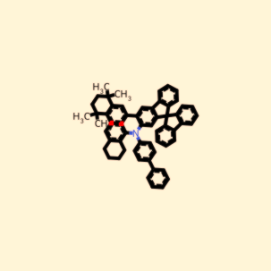 CC1(C)CCC(C)(C)c2cc(-c3cc4c(cc3N(c3ccc(-c5ccccc5)cc3)c3cccc5c3CCCC5)C3(c5ccccc5-c5ccccc53)c3ccccc3-4)ccc21